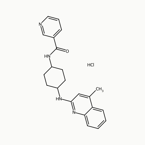 Cc1cc(NC2CCC(NC(=O)c3cccnc3)CC2)nc2ccccc12.Cl